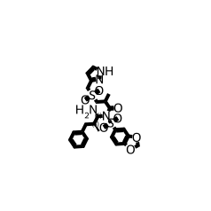 CC(CS(=O)(=O)Cc1cc[nH]n1)C(=O)N([C@H](N)[C@@H](C)Cc1ccccc1)S(=O)(=O)c1ccc2c(c1)OCO2